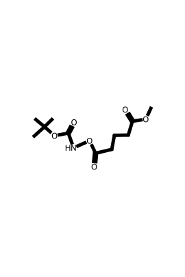 COC(=O)CCCC(=O)ONC(=O)OC(C)(C)C